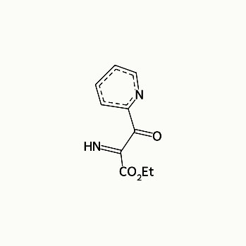 CCOC(=O)C(=N)C(=O)c1ccccn1